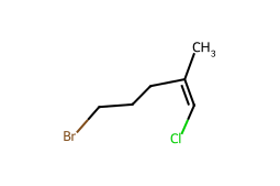 CC(=CCl)CCCBr